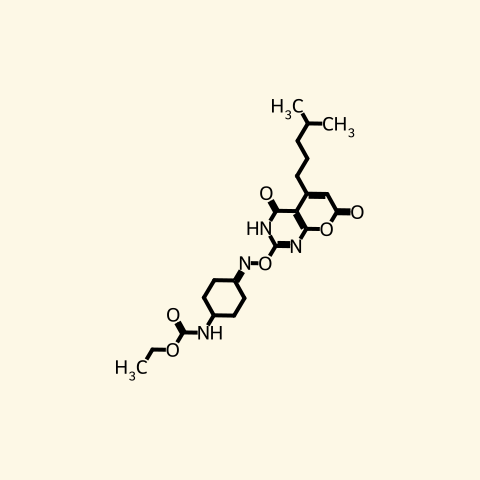 CCOC(=O)NC1CCC(=NOc2nc3oc(=O)cc(CCCC(C)C)c3c(=O)[nH]2)CC1